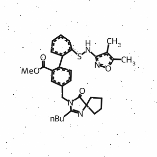 CCCCC1=NC2(CCCC2)C(=O)N1Cc1ccc(-c2ccccc2SNc2noc(C)c2C)c(C(=O)OC)c1